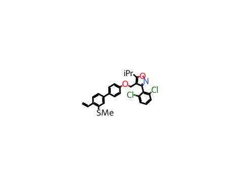 C=Cc1ccc(-c2ccc(OCc3c(-c4c(Cl)cccc4Cl)noc3C(C)C)cc2)cc1SC